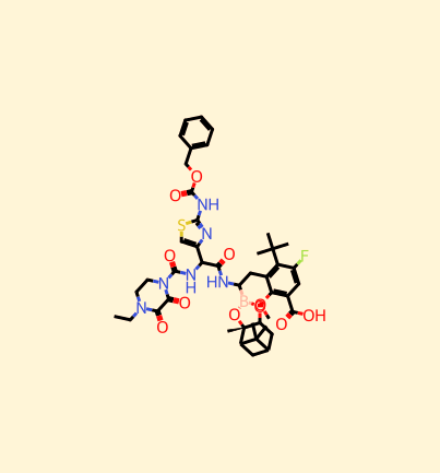 CCN1CCN(C(=O)NC(C(=O)NC(Cc2c(OC)c(C(=O)O)cc(F)c2C(C)(C)C)B2OC3CC4CC(C4(C)C)[C@]3(C)O2)c2csc(NC(=O)OCc3ccccc3)n2)C(=O)C1=O